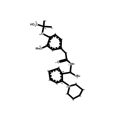 CCCCC(NC(=O)Cc1ccc(OC(C)(C)C(=O)O)c(OC)c1)c1ccccc1N1CCCCC1